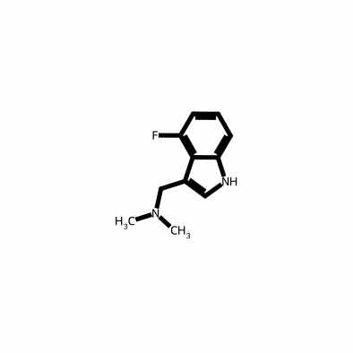 CN(C)Cc1c[nH]c2cccc(F)c12